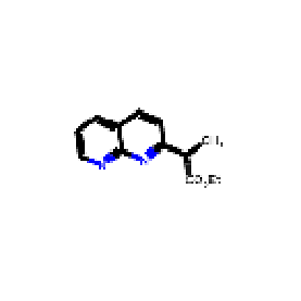 CCOC(=O)C(C)c1ccc2cccnc2n1